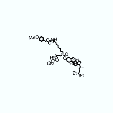 CC[C@H](CC[C@@H](C)[C@H]1CC[C@H]2[C@@H]3CC=C4C[C@@H](OC(=O)N(CCCCCCCC(C)(C)NC(=O)OCc5ccc(OC)cc5)CCC(C)(C)NC(=O)OC(C)(C)C)CC[C@]4(C)[C@H]3CC[C@]12C)C(C)C